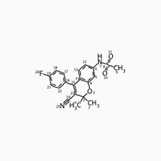 CC1(C)Oc2cc(NS(C)(=O)=O)ccc2C(c2ccc(F)cc2)=C1C#N